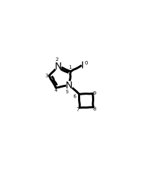 Ic1nccn1C1CCC1